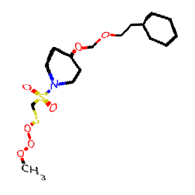 COOOSCS(=O)(=O)N1CCC(OCOCCC2CCCCC2)CC1